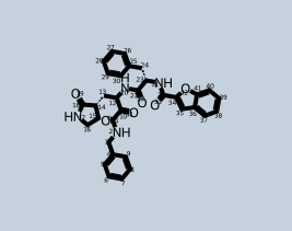 O=C(NCc1ccccc1)C(=O)C(C[C@@H]1CCNC1=O)NC(=O)[C@H](Cc1ccccc1)NC(=O)c1cc2ccccc2o1